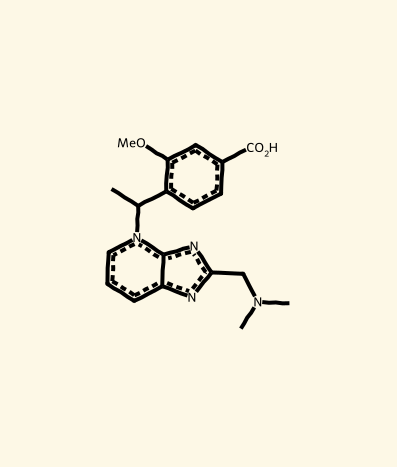 COc1cc(C(=O)O)ccc1C(C)n1cccc2nc(CN(C)C)nc1-2